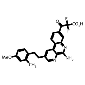 COc1ccc(CCc2cnc3c(N)nc4cc(C(=O)C(F)(F)C(=O)O)ccc4c3c2)c(C)c1